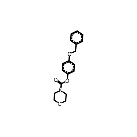 O=C(Oc1ccc(OCc2ccccc2)cc1)N1CCOCC1